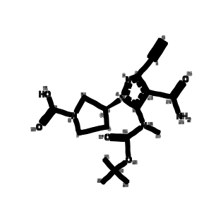 C#Cc1nn([C@H]2CCN(C(=O)O)C2)c(N(C)C(=O)OC(C)(C)C)c1C(N)=O